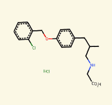 CC(CNCC(=O)O)Cc1ccc(OCc2ccccc2Cl)cc1.Cl